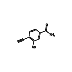 C#Cc1ccc(C(N)=O)cc1N=O